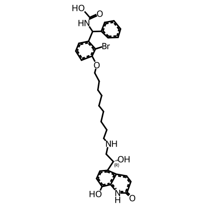 O=C(O)NC(c1ccccc1)c1cccc(OCCCCCCCCCNC[C@H](O)c2ccc(O)c3[nH]c(=O)ccc23)c1Br